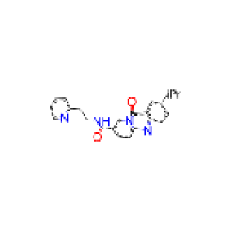 CC(C)c1ccc2nc3ccc(C(=O)NCCc4ccccn4)cn3c(=O)c2c1